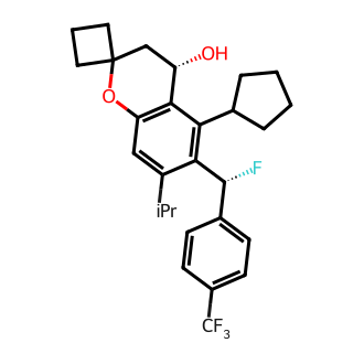 CC(C)c1cc2c(c(C3CCCC3)c1[C@H](F)c1ccc(C(F)(F)F)cc1)[C@@H](O)CC1(CCC1)O2